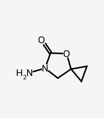 NN1CC2(CC2)OC1=O